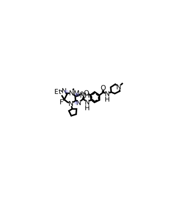 C=C(/N=C1\C(=C/N)N(C)/C(=N/CC)C(C)(F)CN1C1CCCC1)Nc1ccc(C(=O)NC2CCN(C)CC2)cc1OC